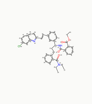 CCOC(=O)c1ccccc1C(=O)NC(CCc1ccccc1C(=O)N(CC)CC)c1cccc(/C=C/c2ccc3ccc(Cl)cc3n2)c1